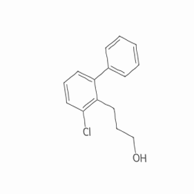 OCCCc1c(Cl)cccc1-c1ccccc1